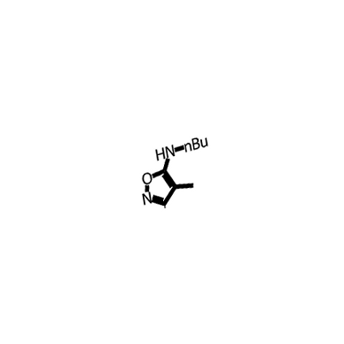 CCCCNc1on[c]c1C